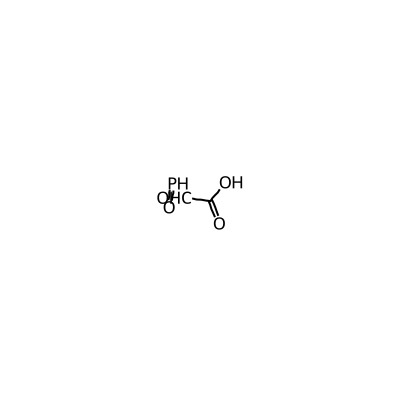 O=CC(=O)O.O=P